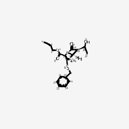 C=CCOC(=O)C1=C(SCc2ccccc2)S[C@@H]2[C@H](C(C)O)C(=O)N12